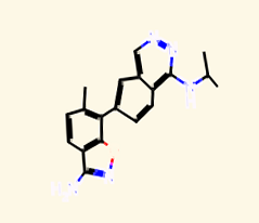 Cc1ccc2c(N)noc2c1-c1ccc2c(NC(C)C)nncc2c1